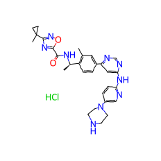 Cc1cc(-c2cc(Nc3ccc(N4CCNCC4)cn3)ncn2)ccc1[C@@H](C)NC(=O)c1nc(C2(C)CC2)no1.Cl